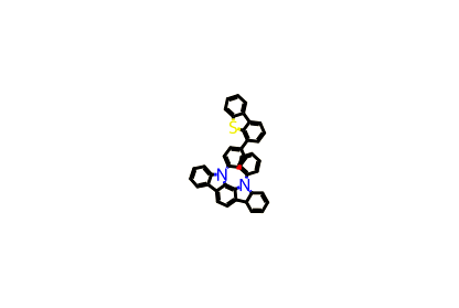 C1=CC2c3ccc4c5ccccc5n(-c5ccc(-c6cccc7c6sc6ccccc67)cc5)c4c3N(c3ccccc3)C2C=C1